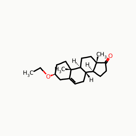 CCO[C@H]1CC[C@@]2(C)C(=CC[C@@H]3[C@@H]2CC[C@]2(C)C(=O)CC[C@@H]32)C1